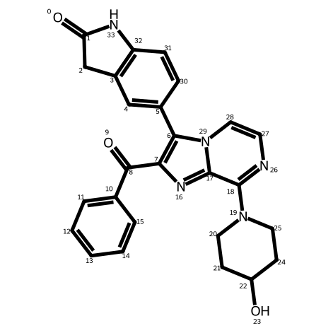 O=C1Cc2cc(-c3c(C(=O)c4ccccc4)nc4c(N5CCC(O)CC5)nccn34)ccc2N1